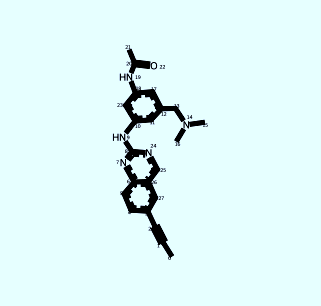 CC#Cc1ccc2nc(Nc3cc(CN(C)C)cc(NC(C)=O)c3)ncc2c1